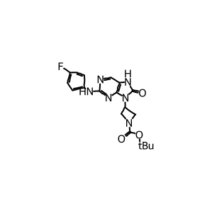 CC(C)(C)OC(=O)N1CC(n2c(=O)[nH]c3cnc(Nc4ccc(F)cc4)nc32)C1